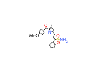 COc1ccc(C(=O)c2c(C)cc(CC=C(c3ccccc3)S(N)(=O)=O)n2C)cc1